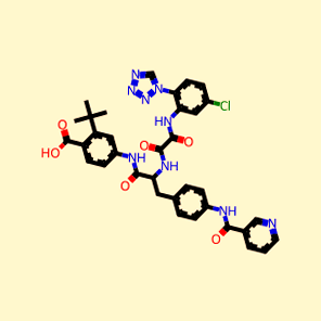 CC(C)(C)c1cc(NC(=O)C(Cc2ccc(NC(=O)c3cccnc3)cc2)NC(=O)C(=O)Nc2cc(Cl)ccc2-n2cnnn2)ccc1C(=O)O